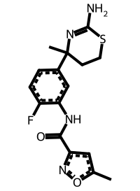 Cc1cc(C(=O)Nc2cc(C3(C)CCSC(N)=N3)ccc2F)no1